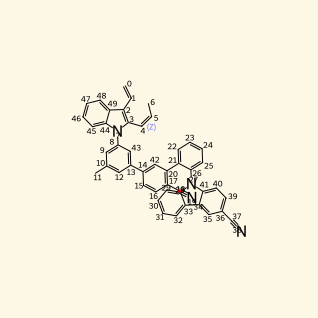 C=Cc1c(/C=C\C)n(-c2cc(C)cc(-c3ccc(C#N)c(-c4ccccc4-n4c5ccccc5c5cc(C#N)ccc54)c3)c2)c2ccccc12